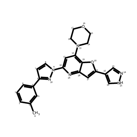 Cc1cccc(-c2ccn(-c3cc(N4CCOCC4)c4oc(-c5cn[nH]c5)cc4n3)n2)c1